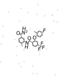 Cc1ccc(C(N)=O)cc1NC(=O)c1ccc(C(F)(F)F)cc1Oc1ccc(F)cc1C